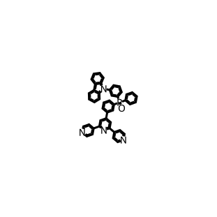 O=P(c1ccccc1)(c1cccc(-c2cc(-c3ccncc3)nc(-c3ccncc3)c2)c1)c1cccc(-n2c3ccccc3c3ccccc32)c1